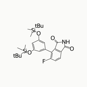 CC(C)(C)[Si](C)(C)Oc1cc(O[Si](C)(C)C(C)(C)C)cc(-c2c(F)ccc3c2C(=O)NC3=O)c1